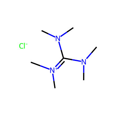 CN(C)C(N(C)C)=[N+](C)C.[Cl-]